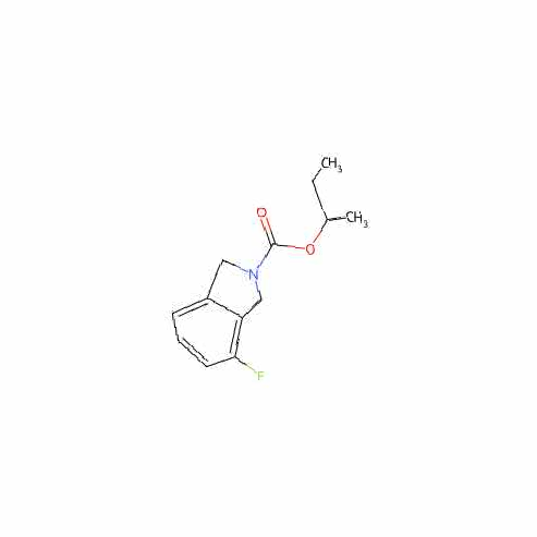 CCC(C)OC(=O)N1Cc2cccc(F)c2C1